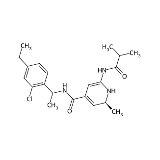 CCc1ccc(C(C)NC(=O)C2=C[C@H](C)NC(NC(=O)C(C)C)=C2)c(Cl)c1